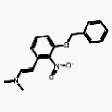 CN(C)C=Cc1cccc(OCc2ccccc2)c1[N+](=O)[O-]